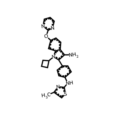 Cc1csc(Nc2ccc(-c3c(N)c4ccc(Oc5ncccn5)cc4n3C3CCC3)cc2)n1